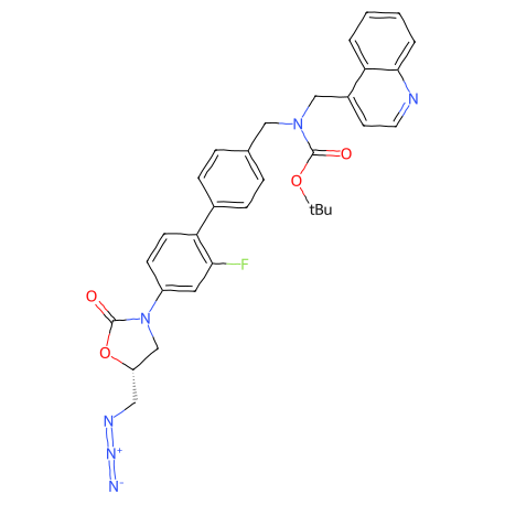 CC(C)(C)OC(=O)N(Cc1ccc(-c2ccc(N3C[C@H](CN=[N+]=[N-])OC3=O)cc2F)cc1)Cc1ccnc2ccccc12